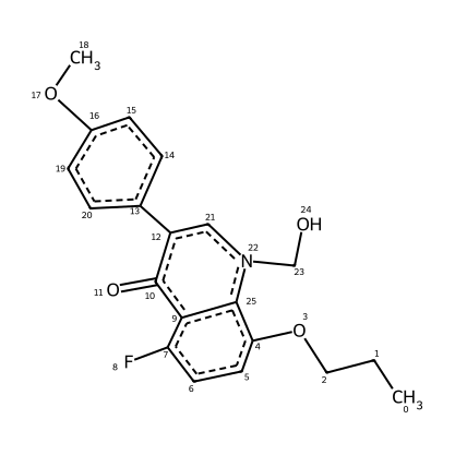 CCCOc1ccc(F)c2c(=O)c(-c3ccc(OC)cc3)cn(CO)c12